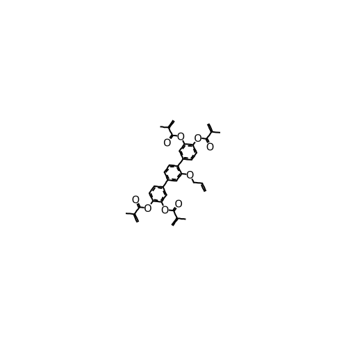 C=CCOc1cc(-c2ccc(OC(=O)C(=C)C)c(OC(=O)C(=C)C)c2)ccc1-c1ccc(OC(=O)C(=C)C)c(OC(=O)C(=C)C)c1